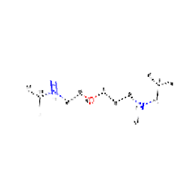 CC(C)CN(C)CCCOCCNC(C)C